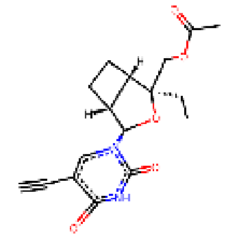 C#Cc1cn([C@@H]2O[C@](CC)(COC(C)=O)[C@H]3CC[C@@H]23)c(=O)[nH]c1=O